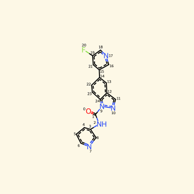 O=C(Nc1cccnc1)n1ncc2cc(-c3cncc(F)c3)ccc21